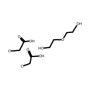 O=C(O)CCl.O=C(O)CCl.OCCOCCO